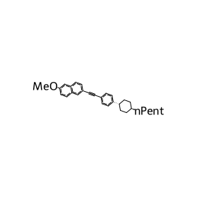 CCCCC[C@H]1CC[C@H](c2ccc(C#Cc3ccc4cc(OC)ccc4c3)cc2)CC1